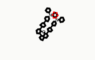 c1ccc(N(c2ccccc2)c2ccc(-c3ccc(-c4cccc5c4Oc4c(-c6ccc(-c7ccc(N(c8ccccc8)c8ccccc8)cc7)cc6)ccc6cccc-5c46)cc3)cc2)cc1